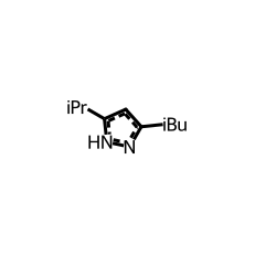 CCC(C)c1cc(C(C)C)[nH]n1